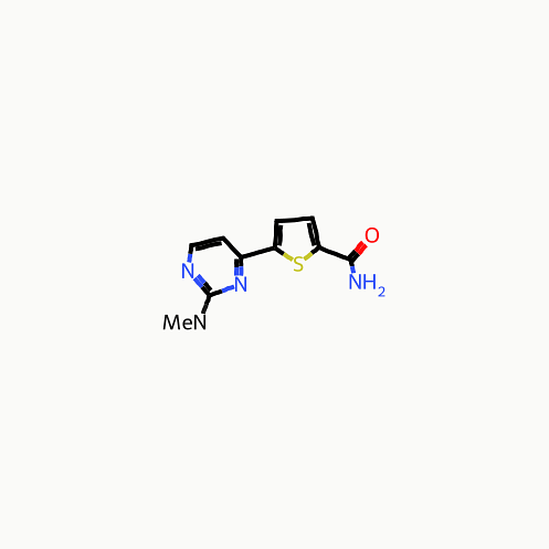 CNc1nccc(-c2ccc(C(N)=O)s2)n1